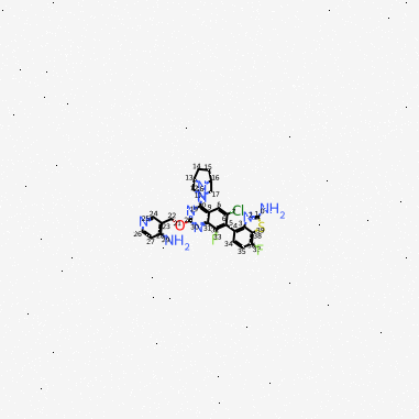 Nc1nc2c(-c3c(Cl)cc4c(N5CC6CCC(C5)N6)nc(OCc5cnccc5N)nc4c3F)ccc(F)c2s1